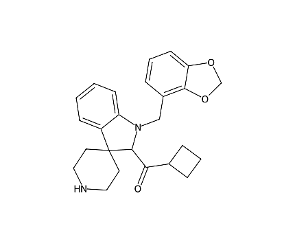 O=C(C1CCC1)C1N(Cc2cccc3c2OCO3)c2ccccc2C12CCNCC2